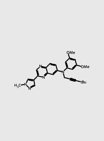 COc1cc(OC)cc(N(CC#CC(C)(C)C)c2ccc3ncc(-c4cnn(C)c4)nc3c2)c1